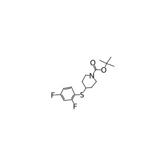 CC(C)(C)OC(=O)N1CCC(Sc2ccc(F)cc2F)CC1